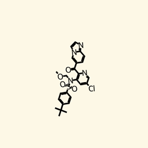 COCN(c1cc(Cl)cnc1C(=O)c1ccc2nccn2c1)S(=O)(=O)c1ccc(C(C)(C)C)cc1